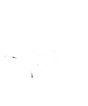 CC=CCS[C@@]1(SC)CC[C@H]2[C@@H]3CCC4=CC(=O)C=C[C@]4(C)C3(F)[C@@H](OC(C)=O)C[C@@]21C